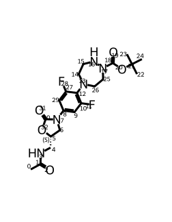 CC(=O)NC[C@H]1CN(c2cc(F)c(N3CCNN(C(=O)OC(C)(C)C)CC3)c(F)c2)C(=O)O1